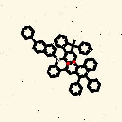 CC1(c2ccccc2)c2ccccc2-c2c(N(c3ccc4cc(-c5ccccc5)ccc4c3)c3ccccc3-c3ccc4c(c3)c(-c3ccccc3)c(-c3ccccc3)c3ccccc34)cccc21